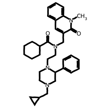 Cn1c(=O)c(CN(CCN2CCN(CC3CC3)CC2c2ccccc2)C(=O)C2CCCCC2)cc2ccccc21